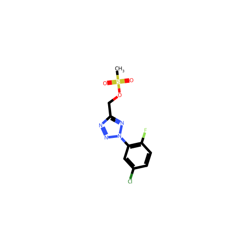 CS(=O)(=O)OCc1nnn(-c2cc(Cl)ccc2F)n1